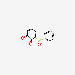 O=C1[C]=CCC([S+]([O-])c2ccccc2)C1=O